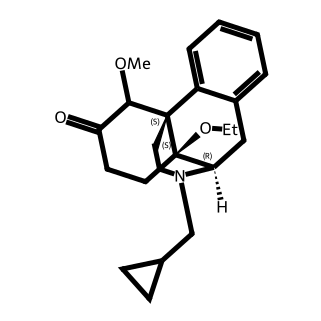 CCO[C@@]12CCC(=O)C(OC)[C@@]13CCN(CC1CC1)[C@@H]2Cc1ccccc13